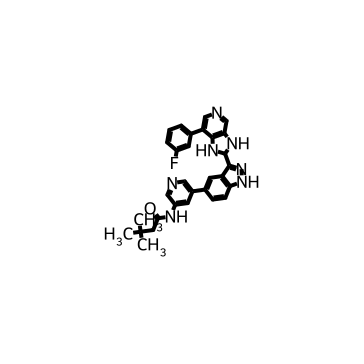 CC(C)(C)CC(=O)Nc1cncc(-c2ccc3[nH]nc(C4Nc5cncc(-c6cccc(F)c6)c5N4)c3c2)c1